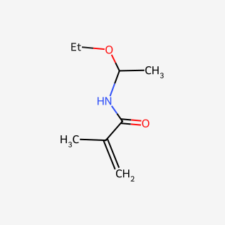 C=C(C)C(=O)NC(C)OCC